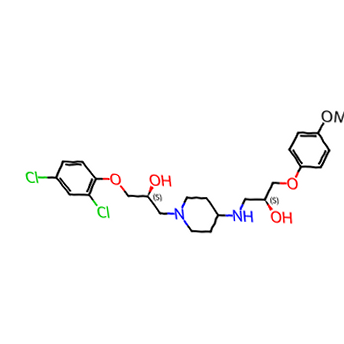 COc1ccc(OC[C@@H](O)CNC2CCN(C[C@H](O)COc3ccc(Cl)cc3Cl)CC2)cc1